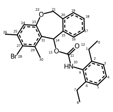 CCc1cccc(CC)c1NC(=O)OC1c2ccccc2COc2cc(C)c(Br)c(C)c21